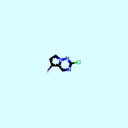 Clc1ncc2c(I)ccn2n1